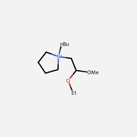 CCCC[N+]1(CC(OC)OCC)CCCC1